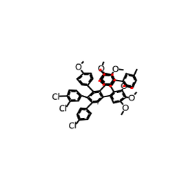 COc1ccc(-c2c(-c3ccc(Cl)c(Cl)c3)c(-c3ccc(Cl)cc3)[c]c(-c3cc(OC)c(OC)c(OC)c3-c3ccc(C)cc3-c3cccc(C)c3)c2-c2ccc(OC)c(OC)c2)cc1